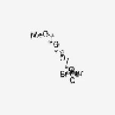 COCCOCCOCCOP(=O)(Br)Br